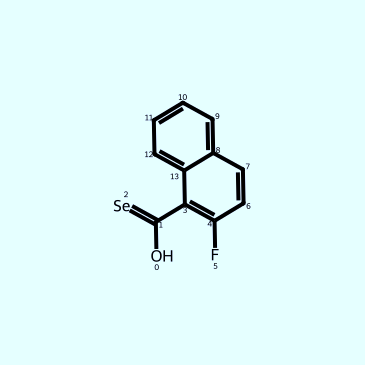 OC(=[Se])c1c(F)ccc2ccccc12